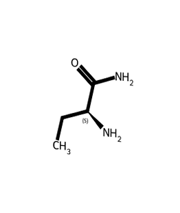 CC[C@H](N)C(N)=O